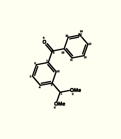 COC(OC)c1cccc(C(=O)c2cccnc2)c1